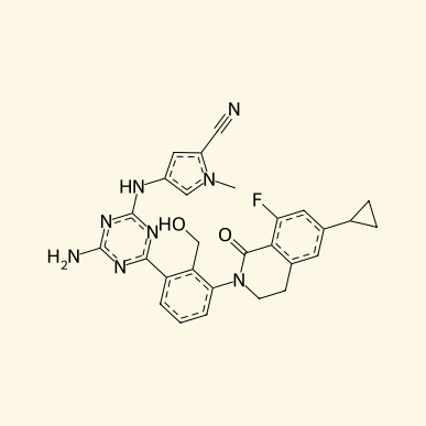 Cn1cc(Nc2nc(N)nc(-c3cccc(N4CCc5cc(C6CC6)cc(F)c5C4=O)c3CO)n2)cc1C#N